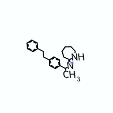 CC(/N=C1\CCCCCN1)c1ccc(CCc2ccccc2)cc1